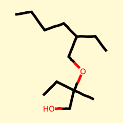 CCCCC(CC)COC(C)(CC)CO